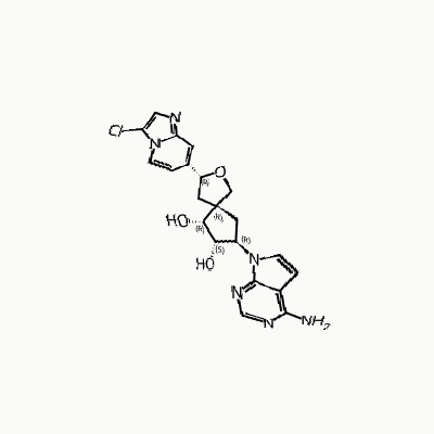 Nc1ncnc2c1ccn2[C@@H]1C[C@@]2(CO[C@@H](c3ccn4c(Cl)cnc4c3)C2)[C@@H](O)[C@H]1O